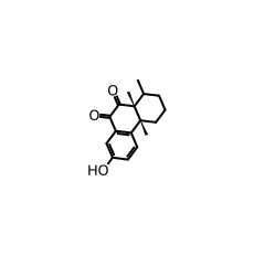 CC1CCC[C@]2(C)c3ccc(O)cc3C(=O)C(=O)[C@]12C